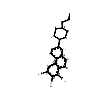 CCCC1CCC(c2ccc3c(ccc4c(F)c(F)c(F)cc43)c2)CC1